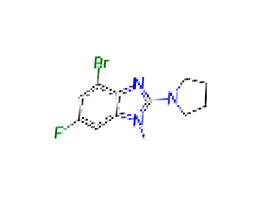 Cn1c(N2CCCC2)nc2c(Br)cc(F)cc21